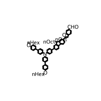 CCCCCCCCC1(CCCCCCCC)c2cc(-c3ccc(N(c4ccc(-c5ccc(OCCCCCC)cc5)cc4)c4ccc(-c5ccc(OCCCCCC)cc5)cc4)cc3)ccc2-c2ccc(-c3cc4ccc(C=O)cc4o3)cc21